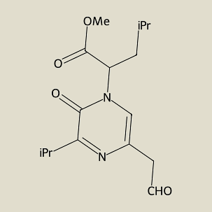 COC(=O)C(CC(C)C)n1cc(CC=O)nc(C(C)C)c1=O